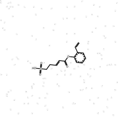 C=Cc1ccccc1OC(=O)/C=C/CCS(=O)(=O)O